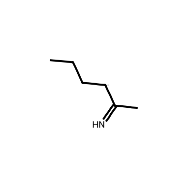 CCC[CH]C(C)=N